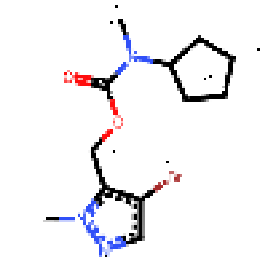 CN(C(=O)OCc1c(Br)cnn1C)C1CCCC1